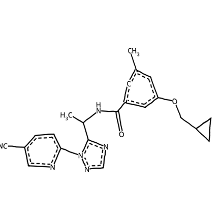 Cc1cc(OCC2CC2)cc(C(=O)NC(C)c2ncnn2-c2ccc(C#N)cn2)c1